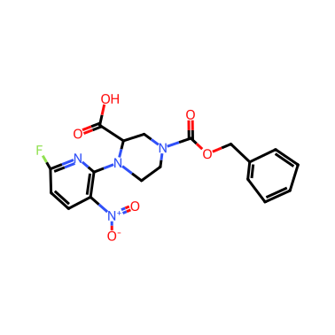 O=C(O)C1CN(C(=O)OCc2ccccc2)CCN1c1nc(F)ccc1[N+](=O)[O-]